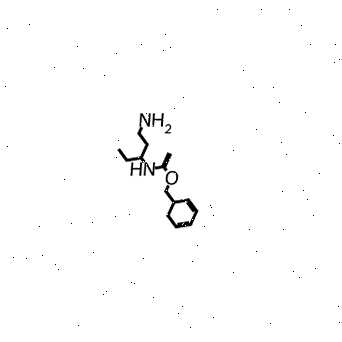 C=C(NC(CC)CCN)OCC1C=CC=CC1